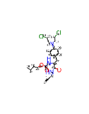 C#CCNC(=O)[C@H](Cc1ccc(N(CCCl)CCCl)cc1)NC(=O)OCCCC